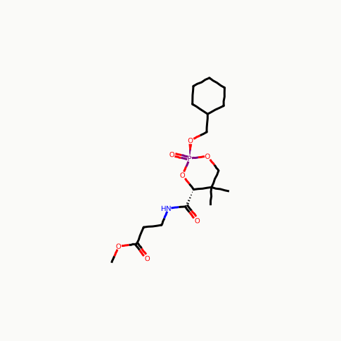 COC(=O)CCNC(=O)[C@@H]1O[P@@](=O)(OCC2CCCCC2)OCC1(C)C